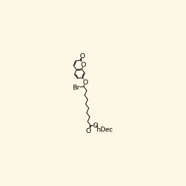 CCCCCCCCCCOC(=O)CCCCCCCCC(Br)Oc1ccc2ccc(=O)oc2c1